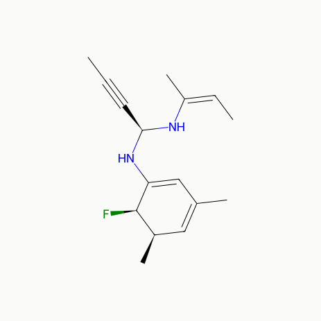 CC#C[C@H](NC1=CC(C)=C[C@@H](C)[C@H]1F)N/C(C)=C\C